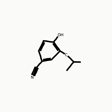 CC(C)Cc1cc(C#N)ccc1O